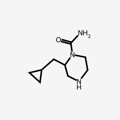 NC(=O)N1CCNCC1CC1CC1